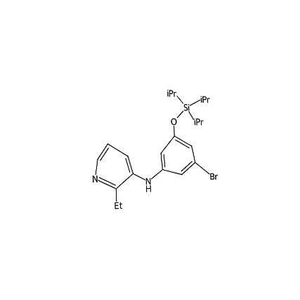 CCc1ncccc1Nc1cc(Br)cc(O[Si](C(C)C)(C(C)C)C(C)C)c1